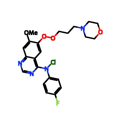 COc1cc2ncnc(N(Cl)c3ccc(F)cc3)c2cc1OOCCCN1CCOCC1